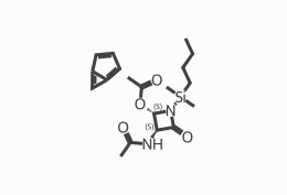 CCCC[Si](C)(C)N1C(=O)[C@@H](NC(C)=O)[C@@H]1OC(C)=O.c1cc2cc-2c1